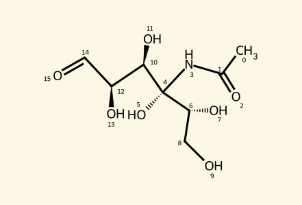 CC(=O)N[C@@](O)([C@H](O)CO)[C@H](O)[C@@H](O)C=O